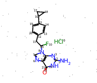 Cl.Nc1nc2c(ncn2C(F)Cc2ccc(C3CC3)cc2)c(=O)[nH]1